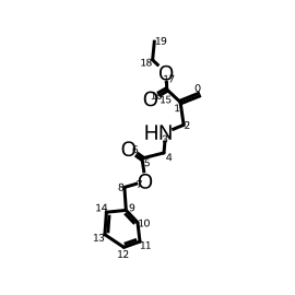 C=C(CNCC(=O)OCc1ccccc1)C(=O)OCC